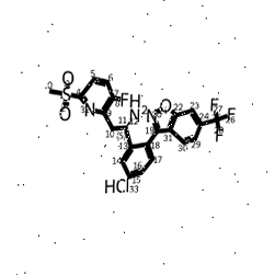 CS(=O)(=O)c1ccc(F)c(C[C@H](N)c2ccccc2-c2noc3cc(C(F)(F)F)ccc23)n1.Cl